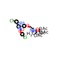 CC(=O)OCC(OC(C)=O)OC(C(OC(C)=O)C(C)OC(C)=O)n1cc(CCOc2ccc([C@H]3c4[nH]c5ccc(Cl)cc5c4CCN3C(=O)Oc3ccc(Cl)cc3)cc2)nn1